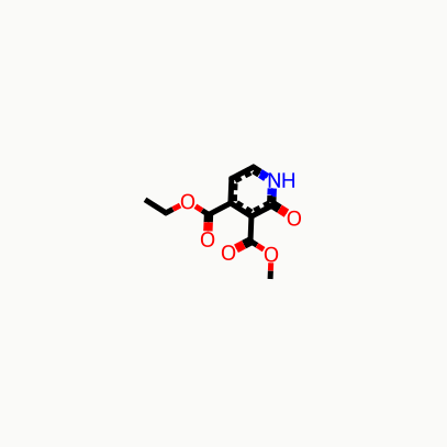 CCOC(=O)c1cc[nH]c(=O)c1C(=O)OC